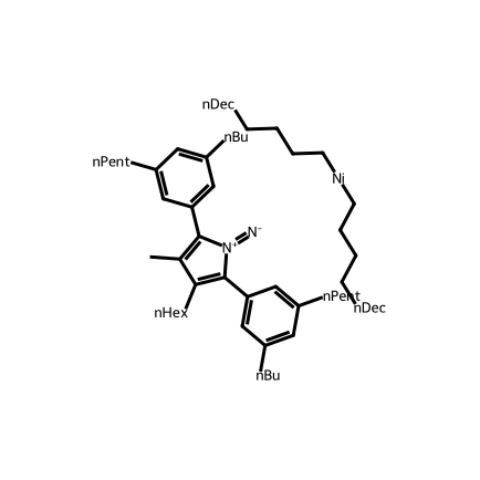 CCCCCCC1=C(c2cc(CCCC)cc(CCCCC)c2)[N+](=[N-])C(c2cc(CCCC)cc(CCCCC)c2)=C1C.CCCCCCCCCCCCC[CH2][Ni][CH2]CCCCCCCCCCCCC